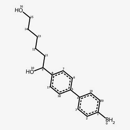 Bc1ccc(-c2ccc(C(O)CCCCCO)cc2)cc1